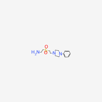 NCCS(=O)(=O)CCN1CCN(c2ccccc2)CC1